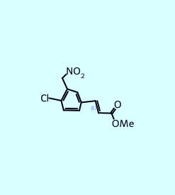 COC(=O)/C=C/c1ccc(Cl)c(C[N+](=O)[O-])c1